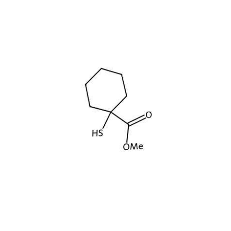 COC(=O)C1(S)CCCCC1